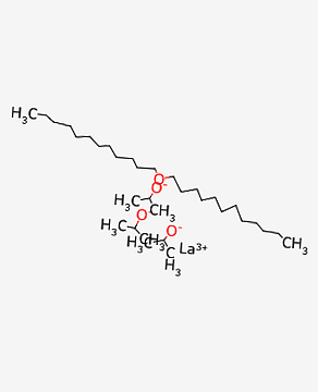 CC(C)[O-].CC(C)[O-].CC(C)[O-].CCCCCCCCCCCCOCCCCCCCCCCCC.[La+3]